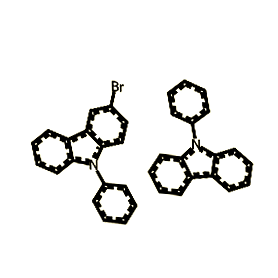 Brc1ccc2c(c1)c1ccccc1n2-c1ccccc1.c1ccc(-n2c3ccccc3c3ccccc32)cc1